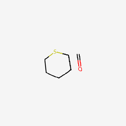 C1CCSCC1.C=O